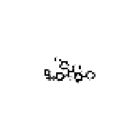 CC(c1ccc(NC2CCC2)cc1)C(c1ccc(Cl)cc1)C(C)c1cccc(C2CCCCC2)c1